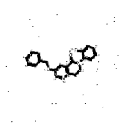 O=C1c2cc(OCc3ccccc3)cnc2CCN1c1ccccc1F